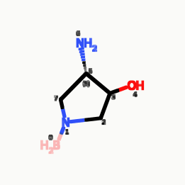 BN1CC(O)[C@@H](N)C1